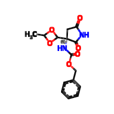 CC1OC([C@@]2(NC(=O)OCc3ccccc3)CC(=O)NC2=O)O1